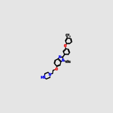 CCCCn1c(-c2cccc(Oc3cccc(C(F)(F)F)c3)c2)nc2ccc(OCCN3CCNCC3)cc21